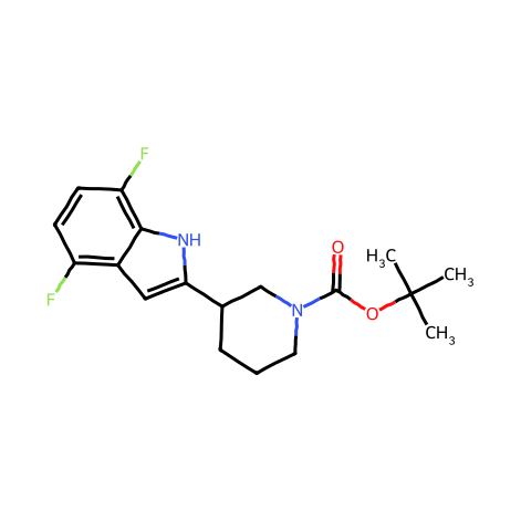 CC(C)(C)OC(=O)N1CCCC(c2cc3c(F)ccc(F)c3[nH]2)C1